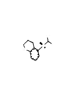 CC(C)S(=O)(=O)c1cccc2c1CCCN2